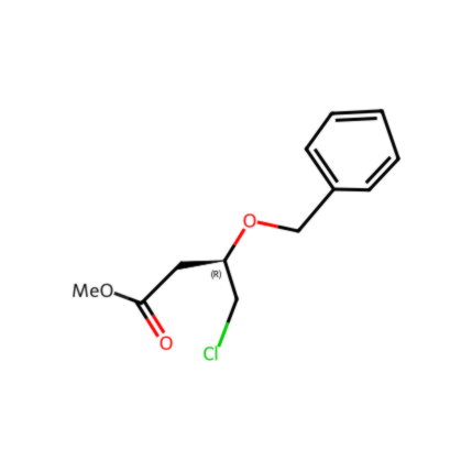 COC(=O)C[C@H](CCl)OCc1ccccc1